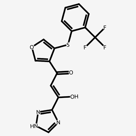 O=C(C=C(O)c1nc[nH]n1)c1cocc1Sc1ccccc1C(F)(F)F